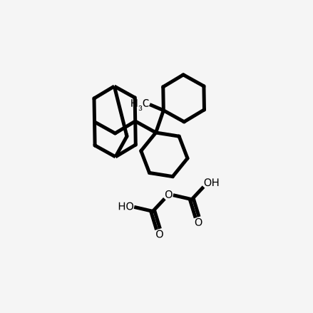 CC1(C2(C34CC5CC(CC(C5)C3)C4)CCCCC2)CCCCC1.O=C(O)OC(=O)O